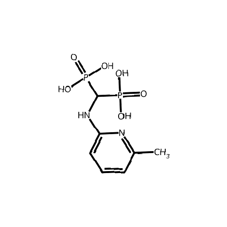 Cc1cccc(NC(P(=O)(O)O)P(=O)(O)O)n1